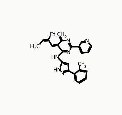 C=c1nc(-c2cccnc2)nc(Nc2cc(-c3ccccc3C(F)(F)F)n[nH]2)/c1=C/C(=C\C)CC